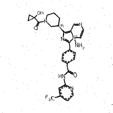 N[N+]12C=CN=CC1=C([C@@H]1CCCN(C(=O)C3(O)CC3)C1)N=C2c1ccc(C(=O)Nc2cc(C(F)(F)F)ccn2)cc1